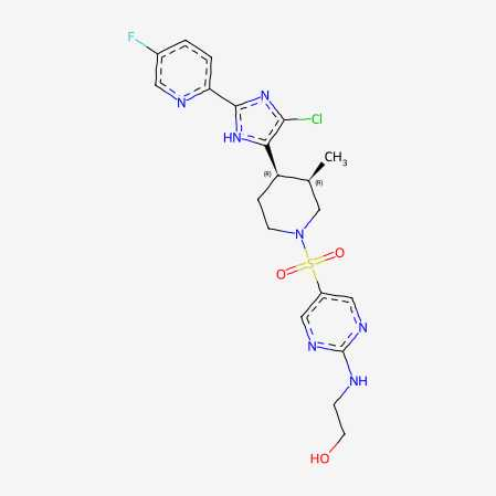 C[C@H]1CN(S(=O)(=O)c2cnc(NCCO)nc2)CC[C@H]1c1[nH]c(-c2ccc(F)cn2)nc1Cl